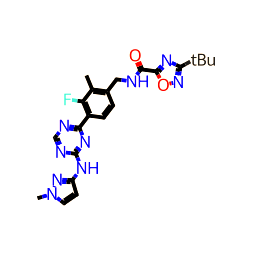 Cc1c(CNC(=O)c2nc(C(C)(C)C)no2)ccc(-c2ncnc(Nc3ccn(C)n3)n2)c1F